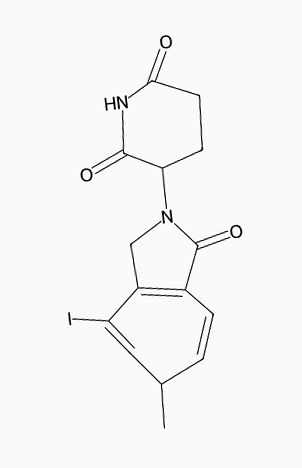 CC1C=CC2=C(CN(C3CCC(=O)NC3=O)C2=O)C(I)=C1